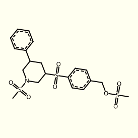 CS(=O)(=O)OCc1ccc(S(=O)(=O)C2CC(c3ccccc3)CN(S(C)(=O)=O)C2)cc1